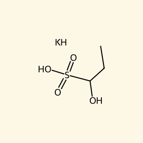 CCC(O)S(=O)(=O)O.[KH]